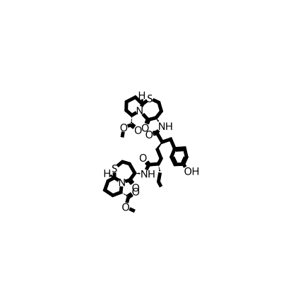 CCC[C@@H](CC[C@H](Cc1ccc(O)cc1)C(=O)N[C@H]1CCS[C@H]2CCC[C@@H](C(=O)OC)N2C1=O)C(=O)N[C@H]1CCS[C@H]2CCC[C@@H](C(=O)OC)N2C1=O